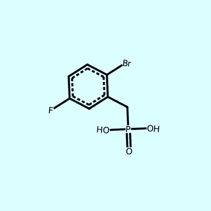 O=P(O)(O)Cc1cc(F)ccc1Br